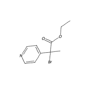 CCOC(=O)C(C)(Br)c1ccncc1